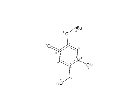 CCCCOc1cn(O)c(CO)cc1=O